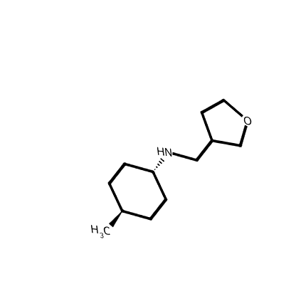 C[C@H]1CC[C@H](NCC2CCOC2)CC1